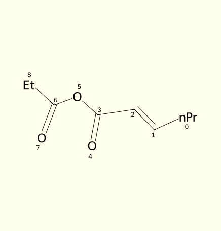 CCC/C=C/C(=O)OC(=O)CC